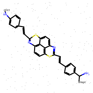 CCCCCCCCNc1ccc(/C=C/C2=Nc3ccc4c5c(ccc(c35)S2)N=C(/C=C/c2ccc(C(N)CCCCCCC)cc2)S4)cc1